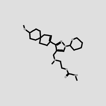 CNC(=O)OCCN(C)Cc1cn(C2CCCCO2)nc1C1=CCC2(CC1)CCC(OC)CC2